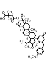 COc1ccc(CC2CC(=O)C=C([C@@]34CC[C@]5(C)[C@H](CC[C@@H]6[C@@]7(C)CC[C@H](OC(=O)CC(C)(C)C(=O)O)C(C)(C)[C@@H]7CC[C@]65C)C3=C(C(C)C)C(=O)C4)N2C)cc1